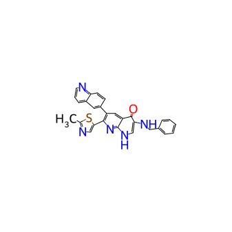 Cc1ncc(-c2nc3[nH]cc(NCc4ccccc4)c(=O)c3cc2-c2ccc3ncccc3c2)s1